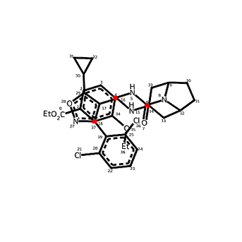 CCOC(=O)c1ccc(NC(=O)N2C3CCC2CC(NCc2c(-c4c(Cl)cccc4Cl)noc2C2CC2)C3)c(OCC)c1